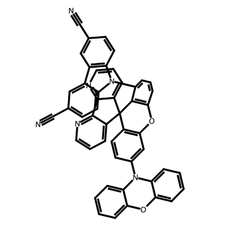 N#Cc1ccc2c(c1)c1cc(C#N)ccc1n2-c1cccc2c1C1(c3ccc(N4c5ccccc5Oc5ccccc54)cc3O2)c2cccnc2-c2ncccc21